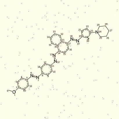 COc1ccc(N=Nc2ccc(N=Nc3ccc(N=Nc4ccc(N5CCCCC5)s4)c4ccccc34)cc2)cc1